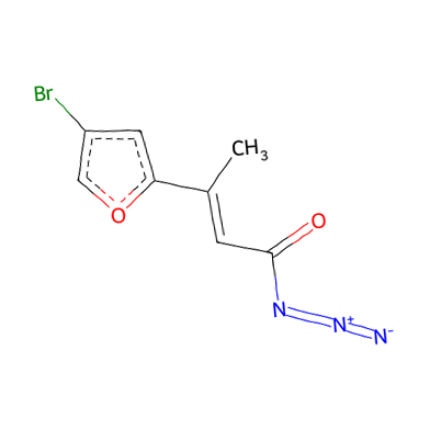 C/C(=C\C(=O)N=[N+]=[N-])c1cc(Br)co1